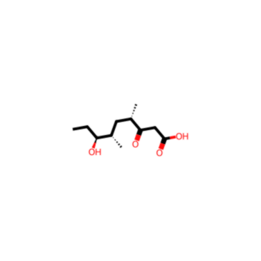 CC[C@H](O)[C@@H](C)C[C@H](C)C(=O)CC(=O)O